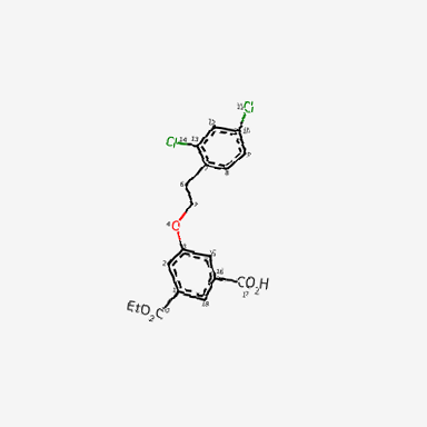 CCOC(=O)c1cc(OCCc2ccc(Cl)cc2Cl)cc(C(=O)O)c1